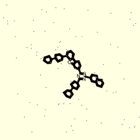 c1ccc(-c2ccc(-c3nc(-c4ccc5ccccc5c4)nc(-c4ccc5c(c4)oc4c(-c6ccc(-c7ccccc7)cc6)cccc45)n3)cc2)cc1